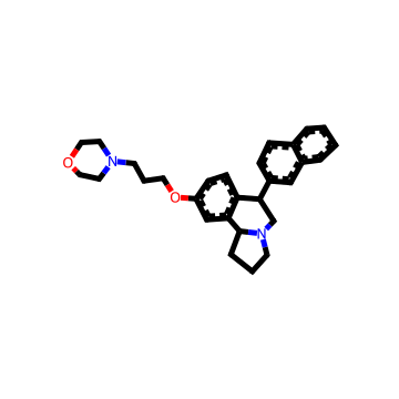 c1ccc2cc(C3CN4CCCC4c4cc(OCCCN5CCOCC5)ccc43)ccc2c1